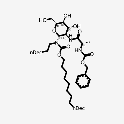 CCCCCCCCCCCCCCCCCCOC(=O)N(CCCCCCCCCCCC)[C@@H]1O[C@H](CO)[C@@H](O)[C@H](O)[C@H]1NC(=O)[C@H](C)NC(=O)OCc1ccccc1